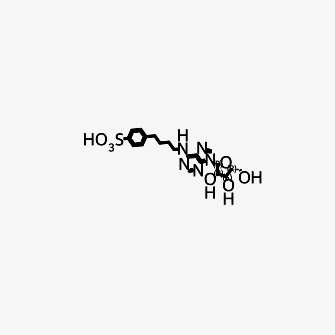 O=S(=O)(O)c1ccc(CCCCNc2ncnc3c2ncn3[C@@H]2O[C@H](CO)[C@@H](O)[C@H]2O)cc1